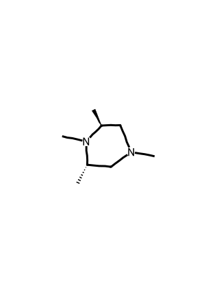 C[C@H]1CN(C)C[C@H](C)N1C